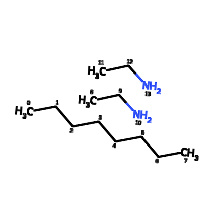 CCCCCCCC.CCN.CCN